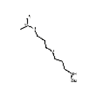 CC(C)[C@H](C)OCCCOCCCNC(C)(C)C